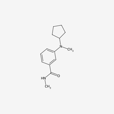 CNC(=O)c1cccc(N(C)C2CCCC2)c1